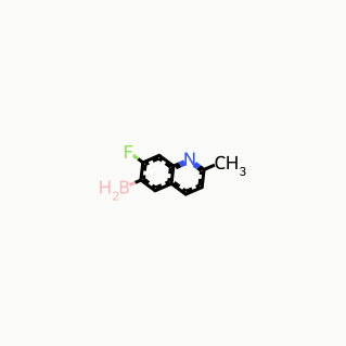 Bc1cc2ccc(C)nc2cc1F